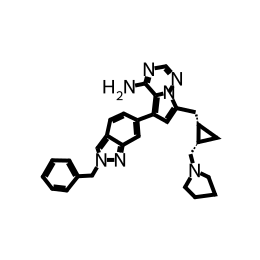 Nc1ncnn2c(C[C@@H]3C[C@@H]3CN3CCCC3)cc(-c3ccc4cn(Cc5ccccc5)nc4c3)c12